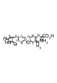 Nc1cc(Oc2ccc(/C=C3/SC(=O)NC3=O)cc2)ccc1CC(N)C(=O)O